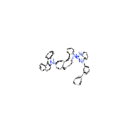 c1ccc(-c2cccc(-c3nc(-n4c5ccccc5c5c6cc(-n7c8ccccc8c8c9ccccc9ccc87)ccc6ccc54)nc4ccccc34)c2)cc1